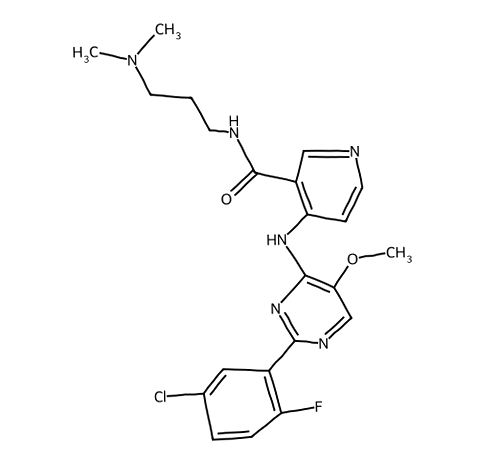 COc1cnc(-c2cc(Cl)ccc2F)nc1Nc1ccncc1C(=O)NCCCN(C)C